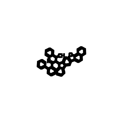 CC1c2ccccc2N=C(c2ccccc2-c2ccccc2)C1C1c2ccccc2-c2cc3c(cc21)oc1c2ccccc2ccc31